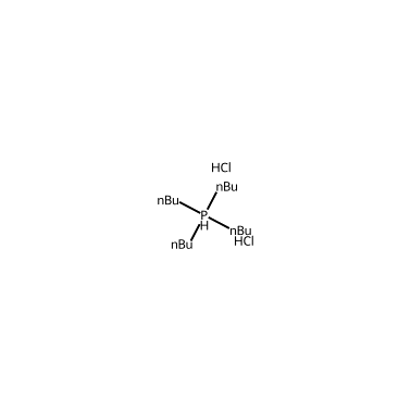 CCCC[PH](CCCC)(CCCC)CCCC.Cl.Cl